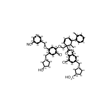 Cc1ccccc1C1=CC=CC(COc2cc(OCc3cncc(C#N)c3)c(CN3CC[C@@H](O)C3)cc2Cl)(c2nc3cc(CN4CC[C@@H](C(=O)O)C4)cc(Cl)c3o2)C1C